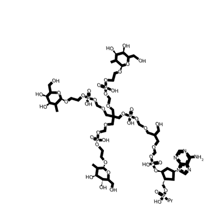 CC1[C@H](OCCOP(=O)(O)OCOCC(COCOP(=O)(O)OCCO[C@@H]2OC(CO)[C@H](O)[C@H](O)C2C)(COCOP(=O)(O)OCCO[C@@H]2OC(CO)[C@H](O)[C@H](O)C2C)COP(=O)(O)OCOCC(CO)COCOP(=O)(O)O[C@H]2C[C@H](n3cnc4c(N)ncnc43)C[C@@H]2COP(=O)(O)C(C)C)OC(CO)[C@H](O)[C@@H]1O